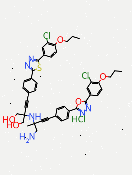 CCCOc1ccc(-c2nnc(-c3ccc(C#CC(C)(CN)NC(C#Cc4ccc(-c5nnc(-c6ccc(OCCC)c(Cl)c6)s5)cc4)(CO)CO)cc3)o2)cc1Cl.Cl